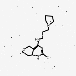 ClC1=NC(NCCCN2CCCC2)=C2COCCC2N1